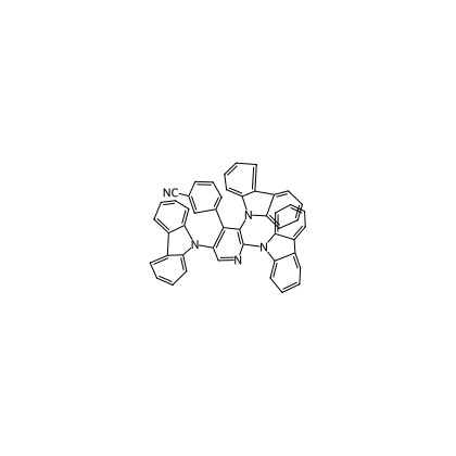 N#Cc1cccc(-c2c(-n3c4ccccc4c4ccccc43)cnc(-n3c4ccccc4c4ccccc43)c2-n2c3ccccc3c3ccccc32)c1